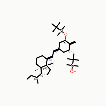 C=C1[C@H](CC(C)(C)[Si](C)(C)O)C/C(=C\C=C2/CCC[C@]3(C)[C@@H]([C@@H](C)CC)CC[C@@H]23)C[C@H]1O[Si](C)(C)C(C)(C)C